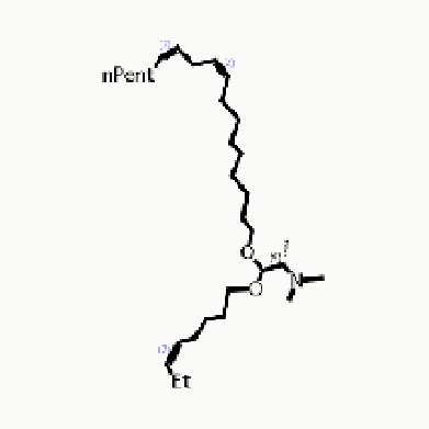 CC/C=C\CCCCOC(OCCCCCCCC/C=C\C/C=C\CCCCC)[C@H](C)N(C)C